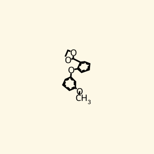 COc1cccc(Oc2ccccc2C2OCCO2)c1